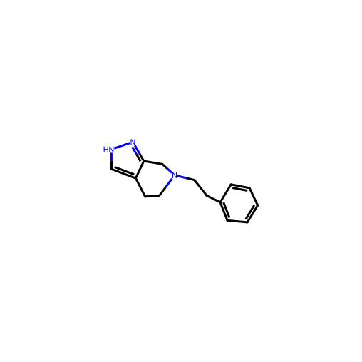 c1ccc(CCN2CCc3c[nH]nc3C2)cc1